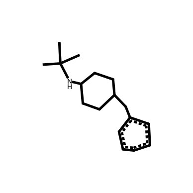 CC(C)(C)NC1CCC(Cc2ccccc2)CC1